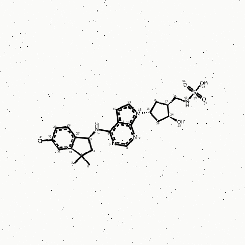 CC1(C)C[C@H](Nc2ncnc3c2ccn3[C@@H]2C[C@@H](CNS(=O)(=O)O)[C@@H](O)C2)c2ccc(Cl)cc21